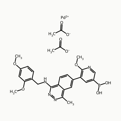 CC(=O)[O-].CC(=O)[O-].COc1ccc(CNc2nnc(C)c3cc(-c4cc(B(O)O)cnc4OC)ccc23)c(OC)c1.[Pd+2]